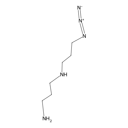 [N-]=[N+]=NCCCNCCCN